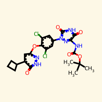 CC(C)(C)OC(=O)Nc1nn(-c2cc(Cl)c(Oc3cc(C4CCC4)c(=O)[nH]n3)c(Cl)c2)c(=O)[nH]c1=O